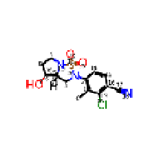 Cc1c(N2C[C@@H]3[C@@H](O)CCN3S2(=O)=O)ccc(C#N)c1Cl